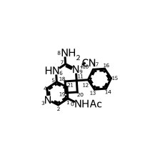 CC(=O)Nc1cncc(NC(N)=[N+](C#N)C2(c3ccccc3)CCC2)c1